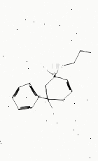 CCCNC1(N)C=CCC(C)(c2ccccc2)C1